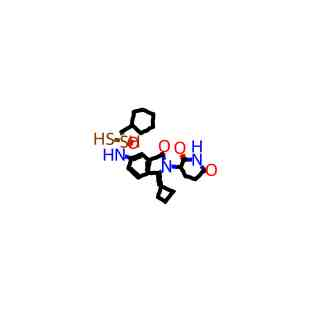 O=C1CCC(N2C(=O)c3cc(N[SH](=O)(S)CC4CCCCC4)ccc3C2=C2CCC2)C(=O)N1